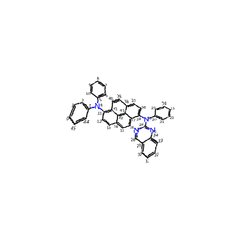 c1ccc(N(c2ccccc2)c2ccc3ccc4c(N(c5ccccc5)c5ncc6ccccc6n5)ccc5ccc2c3c54)cc1